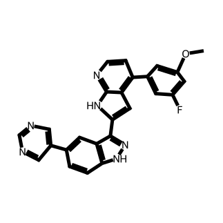 COc1cc(F)cc(-c2ccnc3[nH]c(-c4n[nH]c5ccc(-c6cncnc6)cc45)cc23)c1